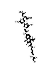 O=C(O)CN(CCN(CC(=O)O)CC(=O)O)CCN(CC(=O)O)CC(=O)Nc1ccc2c(C(F)(F)F)c(CC(=O)NCCCCNC(=O)CBr)c(=O)[nH]c2c1